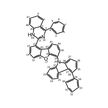 C1=CC2=C(c3ccccc3)N=C(c3cccc4oc5c(-n6c7ccccc7c7c(-c8ccccc8)cccc76)cccc5c34)NC2C=C1